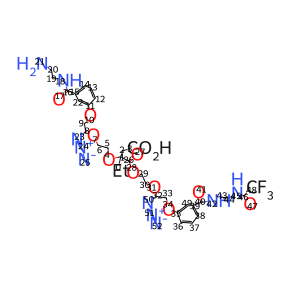 CCC(CC(=O)O)(OCCOC(COc1cccc(C(=O)NCCN)c1)N=[N+]=[N-])C(=O)OCCOC(COc1cccc(C(=O)NCCNC(=O)C(F)(F)F)c1)N=[N+]=[N-]